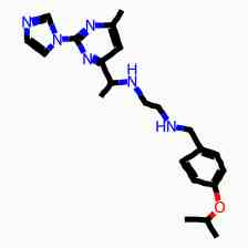 Cc1cc(C(C)NCCNCc2ccc(OC(C)C)cc2)nc(-n2ccnc2)n1